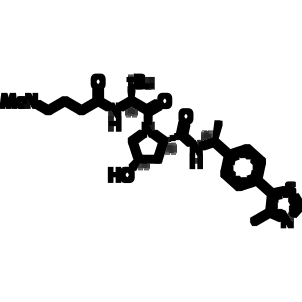 CNCCCC(=O)N[C@H](C(=O)N1C[C@H](O)C[C@H]1C(=O)N[C@@H](C)c1ccc(-c2scnc2C)cc1)C(C)(C)C